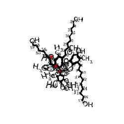 COc1c(O)c(C)c(CCCCCCCCCCO)c(OP(=O)(Oc2c(CCCCCCCCCCO)c(C)c(O)c(OC)c2OC)Oc2c(CCCCCCCCCCO)c(C)c(O)c(OC)c2OC)c1OC